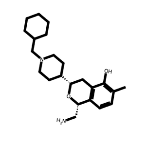 Cc1ccc2c(c1O)C[C@@H](C1CCN(CC3CCCCC3)CC1)O[C@H]2CN